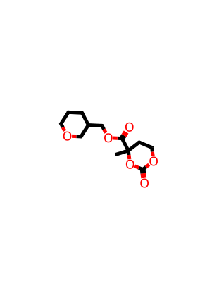 CC1(C(=O)OCC2CCCOC2)CCOC(=O)O1